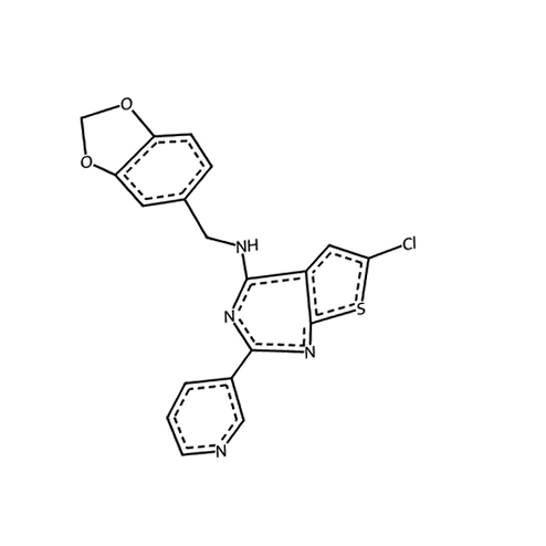 Clc1cc2c(NCc3ccc4c(c3)OCO4)nc(-c3cccnc3)nc2s1